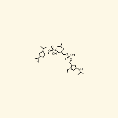 CCN1C[C@@H](NC(C)C)C[C@@H]1COP(=O)(O)OCC(COP(=O)(O)OC[C@@H]1C[C@@H](NC)CN1C(C)C)OC(C)C